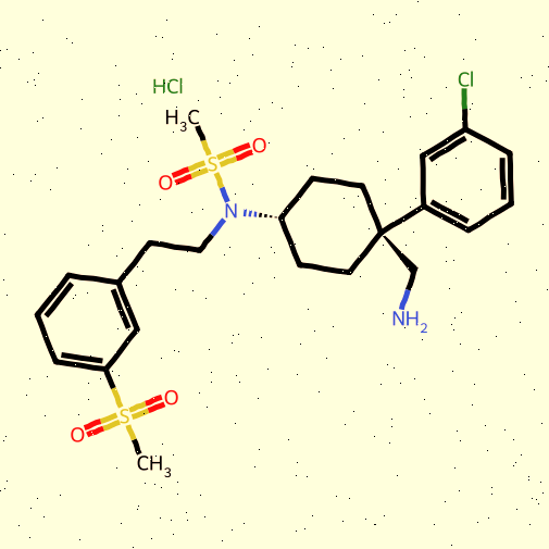 CS(=O)(=O)c1cccc(CCN([C@H]2CC[C@@](CN)(c3cccc(Cl)c3)CC2)S(C)(=O)=O)c1.Cl